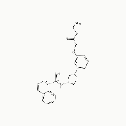 CCOC(=O)COc1cccc(C2CCC(N[C@H](C)c3cccc4ccccc34)C2)c1